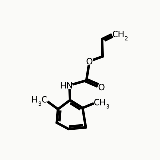 C=CCOC(=O)Nc1c(C)cccc1C